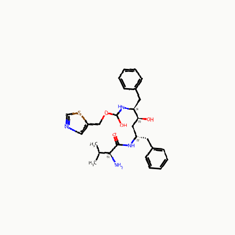 CC(C)[C@H](N)C(=O)N[C@@H](Cc1ccccc1)C[C@H](O)[C@H](Cc1ccccc1)NC(O)OCc1cncs1